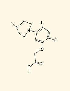 COC(=O)COc1cc(N2CCN(C)CC2)c(F)cc1F